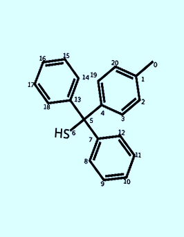 Cc1ccc(C(S)(c2ccccc2)c2ccccc2)cc1